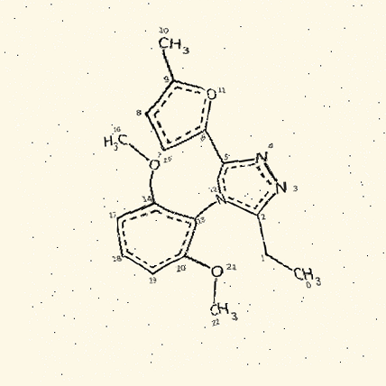 CCc1nnc(-c2ccc(C)o2)n1-c1c(OC)cccc1OC